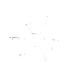 N#Cc1c(N)c(C#N)c(C(F)(F)F)c(C#N)c1C(F)(F)F